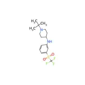 CC(C)(C)N1CCC(Nc2cccc(S(=O)(=O)C(F)(F)F)c2)CC1